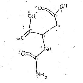 BC(=O)NC(CC(=O)O)C(=O)O